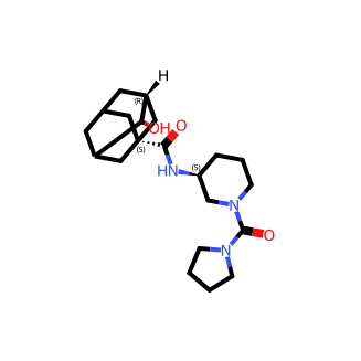 O=C(N1CCCC1)N1CCC[C@H](NC(=O)[C@@]23CC4CC(C2)C(O)[C@H](C4)C3)C1